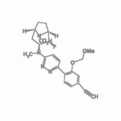 C#Cc1ccc(-c2ccc(N(C)[C@H]3C[C@@H]4CC[C@H]([C@H]3F)N4C(=O)O)nn2)c(OCOC)c1